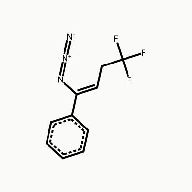 [N-]=[N+]=NC(=CCC(F)(F)F)c1ccccc1